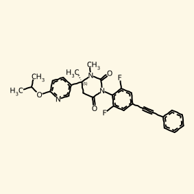 CC(C)Oc1ccc([C@]2(C)CC(=O)N(c3c(F)cc(C#Cc4ccccc4)cc3F)C(=O)N2C)cn1